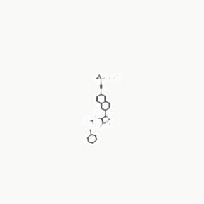 Cc1nsc(-c2ccc3cc(C#CC4(C=O)CC4)ccc3c2)c1NC(=O)OCc1ccccc1